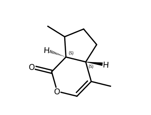 CC1=COC(=O)[C@H]2C(C)CC[C@H]12